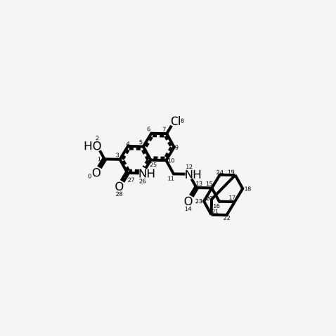 O=C(O)c1cc2cc(Cl)cc(CNC(=O)C34CC5CC(CC(C5)C3)C4)c2[nH]c1=O